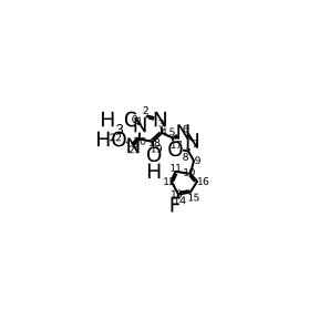 Cn1cnc(-c2nnc(Cc3ccc(F)cc3)o2)c(O)c1=NO